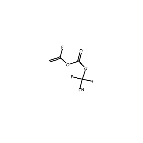 C=C(F)OC(=O)OC(F)(F)C#N